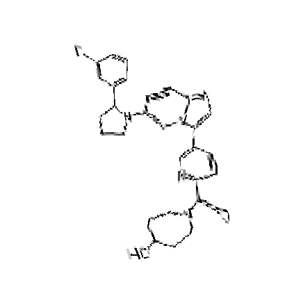 O=C(c1ccc(-c2cnc3ccc(N4CCCC4c4cccc(F)c4)nn23)cn1)N1CCC(O)CC1